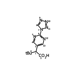 CC(C)(C)C(C(=O)O)c1cnc(-n2cnnn2)nc1